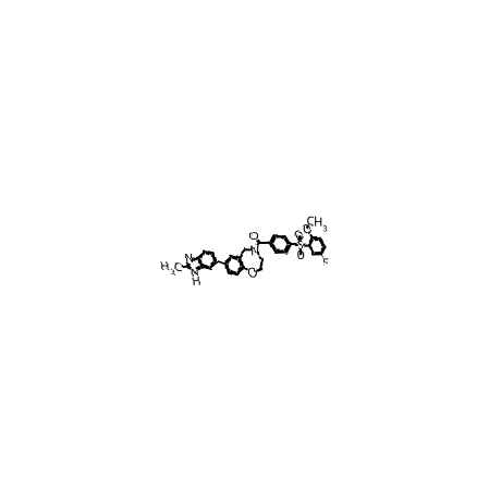 COc1ccc(F)cc1S(=O)(=O)c1ccc(C(=O)N2CCOc3ccc(-c4ccc5nc(C)[nH]c5c4)cc3C2)cc1